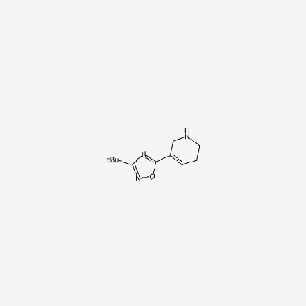 CC(C)(C)c1noc(C2=CCCNC2)n1